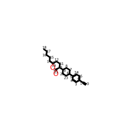 C#Cc1ccc(C2CCC(C3CCC(CCCCC)OC3=O)CC2)cc1